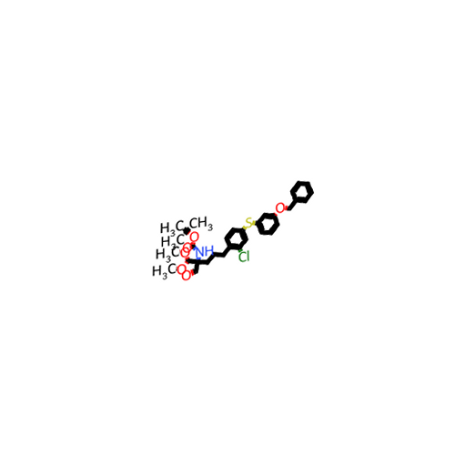 COC(OC)C(C=O)(CCCc1ccc(Sc2cccc(OCc3ccccc3)c2)cc1Cl)NC(=O)OC(C)(C)C